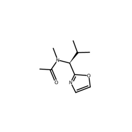 CC(=O)N(C)[C@H](c1ncco1)C(C)C